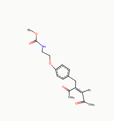 COC(=O)/C(Cc1ccc(OCCNC(=O)OC(C)(C)C)cc1)=C(\C(=O)OC)C(C)C